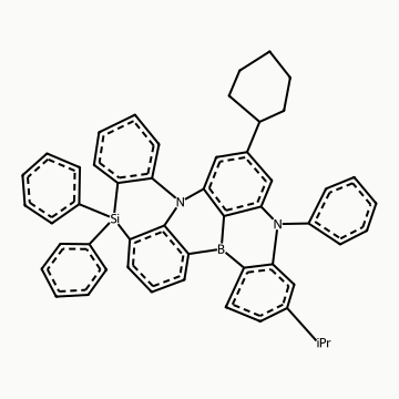 CC(C)c1ccc2c(c1)N(c1ccccc1)c1cc(C3CCCCC3)cc3c1B2c1cccc2c1N3c1ccccc1[Si]2(c1ccccc1)c1ccccc1